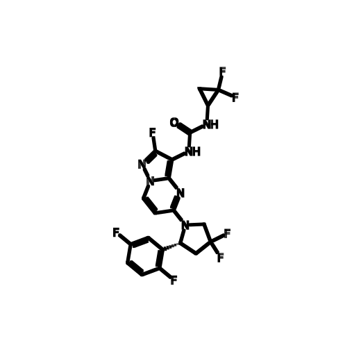 O=C(Nc1c(F)nn2ccc(N3CC(F)(F)C[C@@H]3c3cc(F)ccc3F)nc12)NC1CC1(F)F